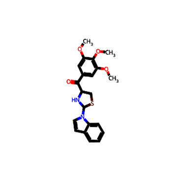 COc1cc(C(=O)C2CSC(n3ccc4ccccc43)N2)cc(OC)c1OC